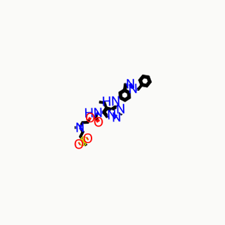 CCc1c(NC(=O)OCCN(C)CCS(C)(=O)=O)cn2ncnc(Nc3ccc4c(cnn4Cc4ccccc4)c3)c12